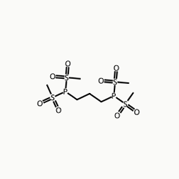 CS(=O)(=O)P(CCCP(S(C)(=O)=O)S(C)(=O)=O)S(C)(=O)=O